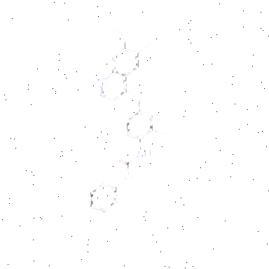 COc1cc2nccc(Oc3ccc(NC(=O)Oc4ccccc4)c(F)c3)c2cc1C